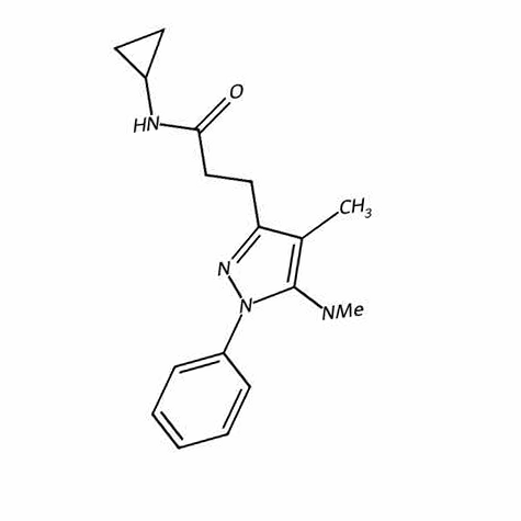 CNc1c(C)c(CCC(=O)NC2CC2)nn1-c1ccccc1